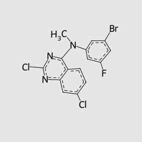 CN(c1cc(F)cc(Br)c1)c1nc(Cl)nc2cc(Cl)ccc12